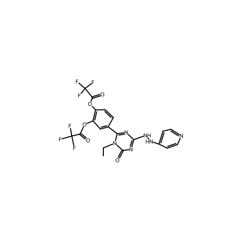 CCn1c(-c2ccc(OC(=O)C(F)(F)F)c(OC(=O)C(F)(F)F)c2)nc(NNc2ccncc2)nc1=O